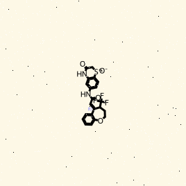 O=C(/C=C1/c2ccccc2OCCC1C(F)(F)F)Nc1ccc2c(c1)NC(=O)C[S+]2[O-]